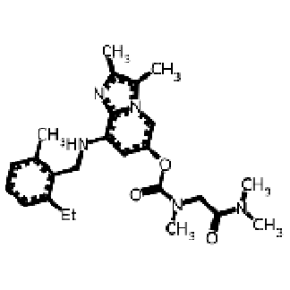 CCc1cccc(C)c1CNc1cc(OC(=O)N(C)CC(=O)N(C)C)cn2c(C)c(C)nc12